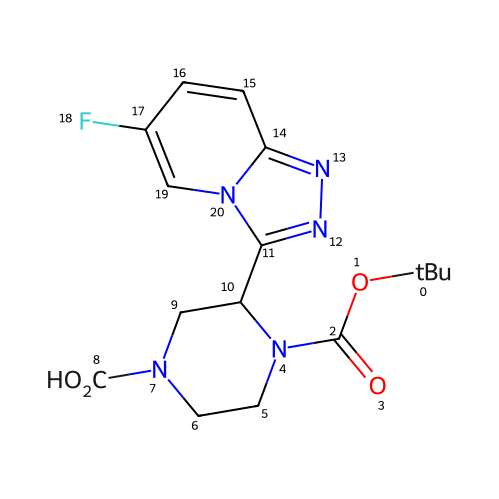 CC(C)(C)OC(=O)N1CCN(C(=O)O)CC1c1nnc2ccc(F)cn12